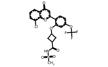 CS(=O)(=O)NC(=O)C1CC(Oc2cc(OC(F)(F)F)ccc2-c2cc(=O)c3cccc(Cl)c3o2)C1